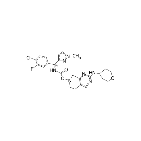 Cn1ccc([C@H](NC(=O)ON2CCc3cnc(NC4CCOCC4)nc3C2)c2ccc(Cl)c(F)c2)n1